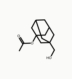 CC(=O)OC12CC3CC(CC(CO)(C3)C1)C2